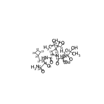 CC(C)(O)C(=O)N[C@H](C(=O)N1CC2(C[C@H]1C(=O)NC(CC1CCC1)C(=O)C(N)=O)C(C)(C)C21COC1)C(C)(C)C